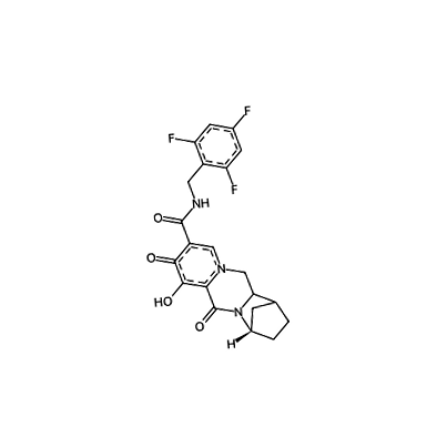 O=C(NCc1c(F)cc(F)cc1F)c1cn2c(c(O)c1=O)C(=O)N1C(C2)C2CC[C@H]1C2